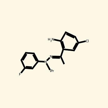 C/C(=N\N(c1cccc(F)c1)C(C)C)c1cc(Cl)ccc1N